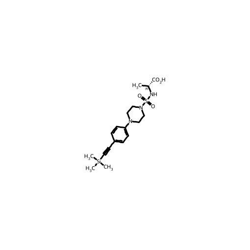 C[C@@H](NS(=O)(=O)N1CCN(c2ccc(C#C[Si](C)(C)C)cc2)CC1)C(=O)O